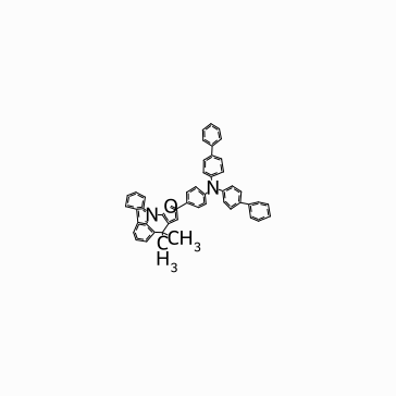 CC1(C)c2cc(-c3ccc(N(c4ccc(-c5ccccc5)cc4)c4ccc(-c5ccccc5)cc4)cc3)oc2-n2c3ccccc3c3cccc1c32